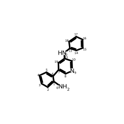 Nc1ccccc1-c1cncc(Nc2ccccc2)c1